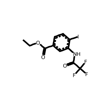 CCOC(=O)c1ccc(I)c(NC(=O)C(F)(F)F)c1